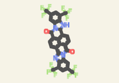 O=C1c2ccc3c4c2c(ccc4c(=O)n2c4cc(C(F)(F)F)cc(C(F)(F)F)c4nc32)C2Nc3c(cc(C(F)(F)F)cc3C(F)(F)F)N12